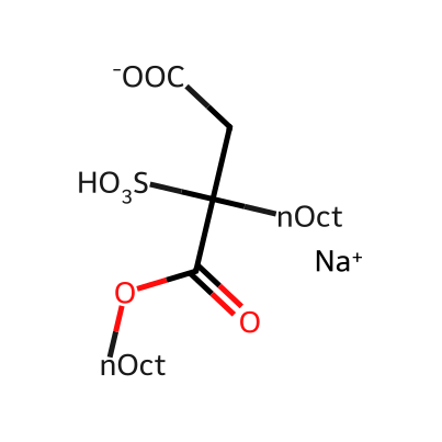 CCCCCCCCOC(=O)C(CCCCCCCC)(CC(=O)[O-])S(=O)(=O)O.[Na+]